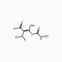 CCC(=O)/C(=C(\OC)OC(=O)NO)N(C)CC